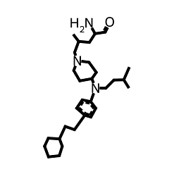 CC(C)CCN(c1ccc(CCC2CCCCC2)cc1)C1CCN(CC(C)CC(N)C=O)CC1